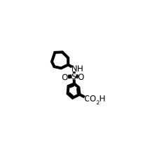 O=C(O)c1cccc(S(=O)(=O)NC2CCCCCC2)c1